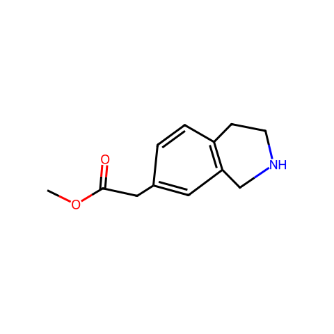 COC(=O)Cc1ccc2c(c1)CNCC2